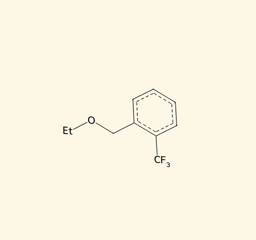 CCOCc1ccccc1C(F)(F)F